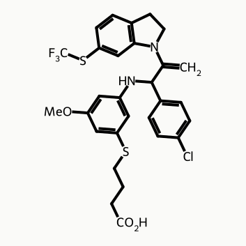 C=C(C(Nc1cc(OC)cc(SCCCC(=O)O)c1)c1ccc(Cl)cc1)N1CCc2ccc(SC(F)(F)F)cc21